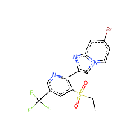 CCS(=O)(=O)c1cc(C(F)(F)F)cnc1-c1cn2ccc(Br)cc2n1